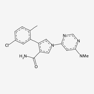 CNc1cc(-n2cc(C(N)=O)c(-c3cc(Cl)ccc3C)c2)ncn1